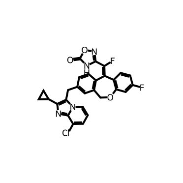 O=c1[nH]c(/C(F)=C2\c3ccc(Cc4c(C5CC5)nc5c(Cl)cccn45)cc3COc3cc(F)ccc32)no1